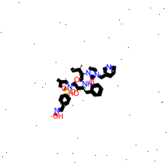 CC[C@H](C)[C@@H](C(=O)N[C@@H](Cc1ccccc1)[C@H](O)CN(CC(C)C)S(=O)(=O)c1ccc(C=NO)cc1)N1CCN(Cc2cccnc2)C1=O